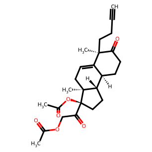 C#CCC[C@@]1(C)C(=O)CC[C@@H]2C1=CC[C@@]1(C)[C@H]2CC[C@]1(OC(C)=O)C(=O)COC(C)=O